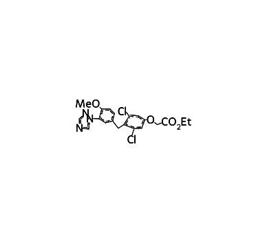 CCOC(=O)COc1cc(Cl)c(Cc2ccc(OC)c(-n3cncn3)c2)c(Cl)c1